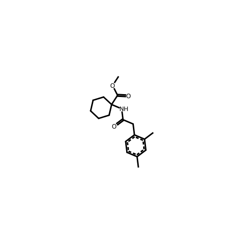 COC(=O)C1(NC(=O)Cc2ccc(C)cc2C)CCCCC1